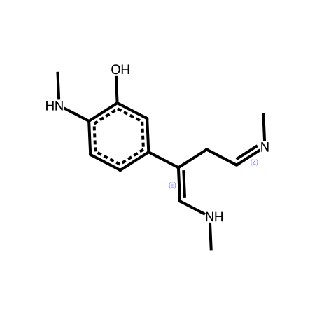 C/N=C\C/C(=C\NC)c1ccc(NC)c(O)c1